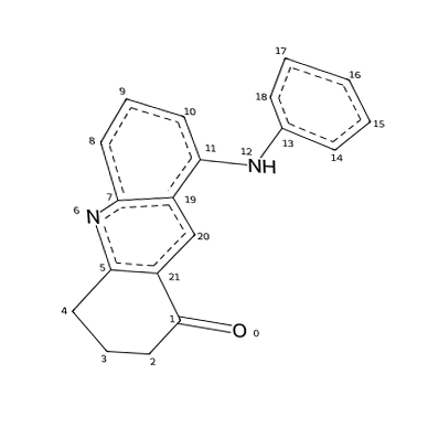 O=C1CCCc2nc3cccc(Nc4ccccc4)c3cc21